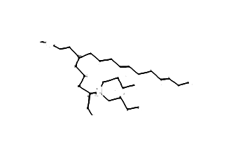 [CH2]CCCC(CCCCCCCCCCC)CCCC(CC)N(CCCC)CCCC